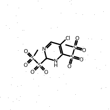 CS(=O)(=O)S(=O)(=O)[C]1N=CC(Cl)=C(S(=O)(=O)S(C)(=O)=O)N1